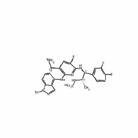 CCn1ncc2c(Nc3nc(N[C@@H](c4ccc(F)c(F)c4)[C@H](C)NC(=O)O)c(F)cc3C(N)=O)cccc21